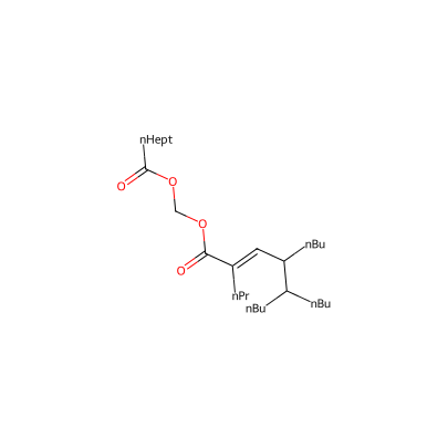 CCCCCCCC(=O)OCOC(=O)C(=CC(CCCC)C(CCCC)CCCC)CCC